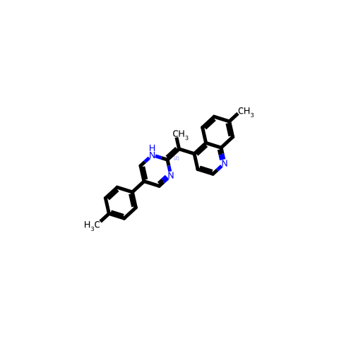 C/C(=C1/N=CC(c2ccc(C)cc2)=CN1)c1ccnc2cc(C)ccc12